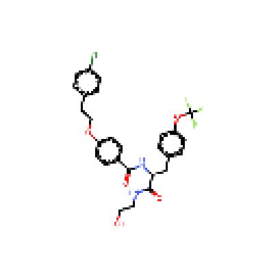 O=C(NC(Cc1ccc(OC(F)(F)F)cc1)C(=O)NCCO)c1ccc(OCCc2ccc(Cl)cc2)cc1